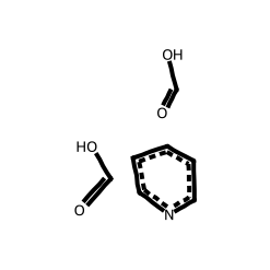 O=CO.O=CO.c1ccncc1